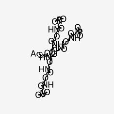 CC(=O)SCCC(=O)NC(COCCCNC(=O)CCOCCNC(=O)CCN1C(=O)C=CC1=O)(COCCCNC(=O)CCOCCNC(=O)CCN1C(=O)C=CC1=O)COCCCNC(=O)CCOCCNC(=O)CCN1C(=O)C=CC1=O